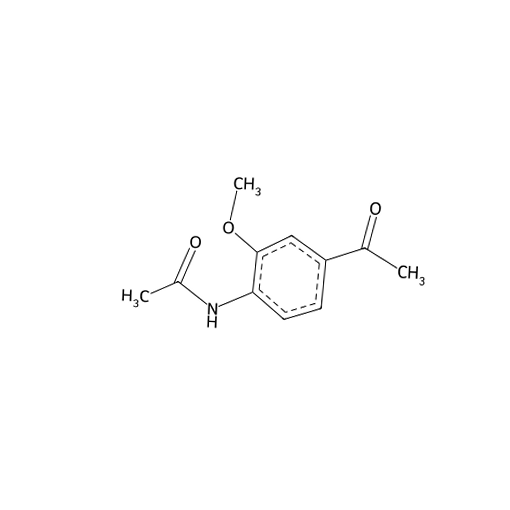 COc1cc(C(C)=O)ccc1NC(C)=O